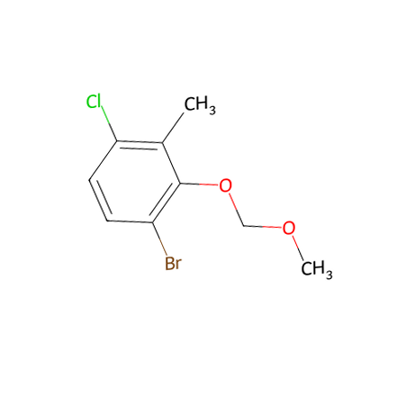 COCOc1c(Br)ccc(Cl)c1C